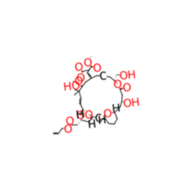 C=CCOC(=O)C[C@H]1C[C@H]2C[C@H]3CCC[C@@H](C[C@@H](O)CC(=O)O[C@@H](CO)CCC/C(=C\C(=O)OC)[C@H](OC(C)=O)[C@@](O)(OC)C(C)(C)/C=C/[C@H](O2)O1)O3